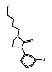 O=C1N(CCCCCl)CCN1c1cccc(Cl)c1